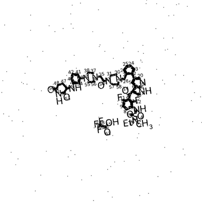 CCN(C)S(=O)(=O)Nc1ccc(F)c(C(=O)c2c[nH]c3ncc(-c4ccccc4CN4CCN(C(=O)CN5CCN(c6cccc(NC7CCC(=O)NC7=O)c6)CC5)CC4)cc23)c1F.O=C(O)C(F)(F)F